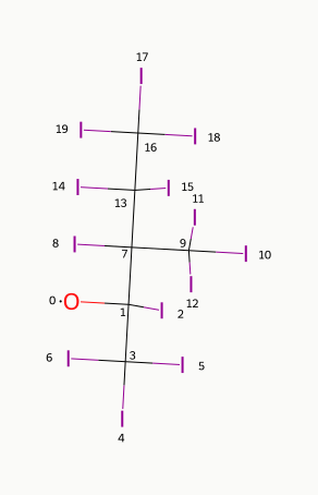 [O]C(I)(C(I)(I)I)C(I)(C(I)(I)I)C(I)(I)C(I)(I)I